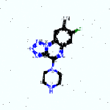 N#Cc1cc2c(cc1Cl)nc(N1CCNCC1)c1nnnn12